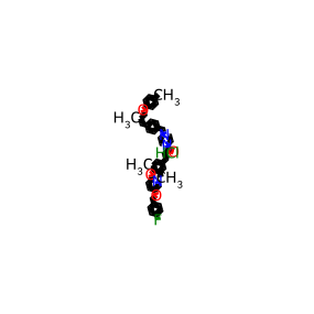 CC(=Cc1ccc(CN2CCN(C(=O)C=Cc3cc(C)c(Oc4ccc(OCc5ccc(F)cc5)cn4)c(C)c3)CC2)cc1)COc1ccc(C)cc1.Cl